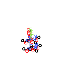 NC(C(=O)NC(C(=O)O[C@H]1C[N+]2(CC(=O)c3ccccc3)CCC1CC2)c1ccccc1)c1ccccc1.NC(C(=O)NC(C(=O)O[C@H]1C[N+]2(CC(=O)c3ccccc3)CCC1CC2)c1ccccc1)c1ccccc1.O=C([O-])C(F)(F)F.O=C([O-])C(F)(F)F